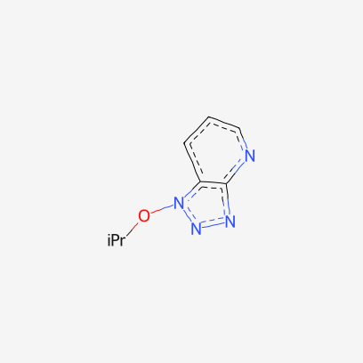 CC(C)On1nnc2ncccc21